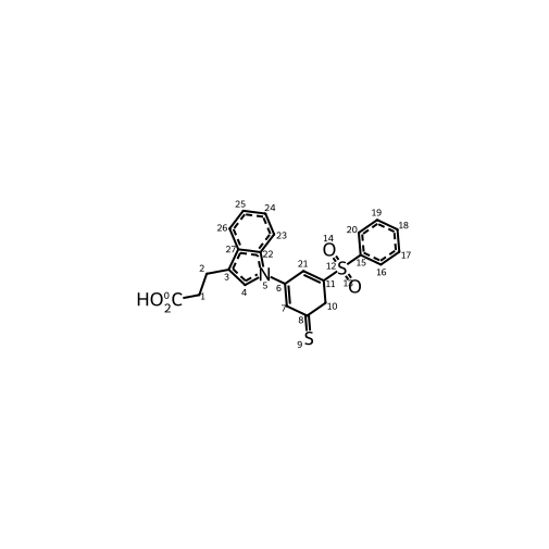 O=C(O)CCc1cn(C2=CC(=S)CC(S(=O)(=O)c3ccccc3)=C2)c2ccccc12